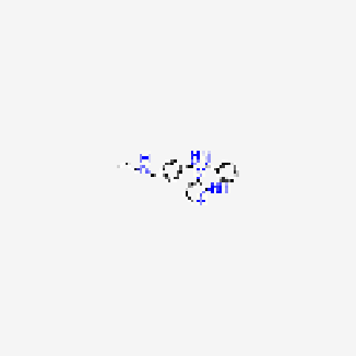 CCCNCc1ccc(-c2nnc3n2-c2cccnc2Nc2ccccc2-3)cc1